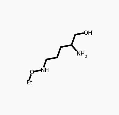 CCONCCCC(N)CO